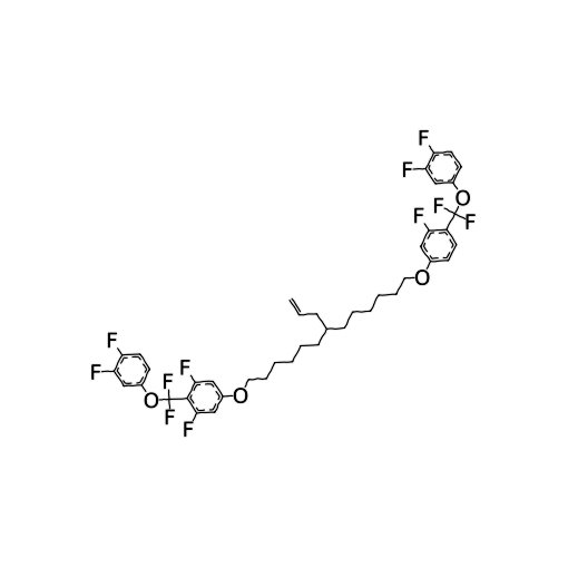 C=CCC(CCCCCCOc1ccc(C(F)(F)Oc2ccc(F)c(F)c2)c(F)c1)CCCCCCOc1cc(F)c(C(F)(F)Oc2ccc(F)c(F)c2)c(F)c1